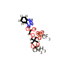 CC1(C)OCC(COCC(=O)On2nnc3ccccc32)(COS(=O)(=O)C(F)(F)F)CO1